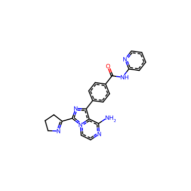 Nc1nccn2c(C3=NCCC3)nc(-c3ccc(C(=O)Nc4ccccn4)cc3)c12